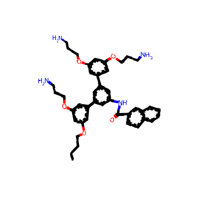 CCCCOc1cc(OCCCN)cc(-c2cc(NC(=O)c3ccc4ccccc4c3)cc(-c3cc(OCCCN)cc(OCCCN)c3)c2)c1